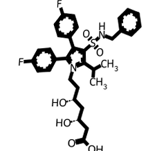 CC(C)c1c(S(=O)(=O)NCc2ccccc2)c(-c2ccc(F)cc2)c(-c2ccc(F)cc2)n1CC[C@@H](O)C[C@@H](O)CC(=O)O